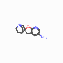 Nc1cnc2c(c1)C[C@@]1(CN3CCC1CC3)O2